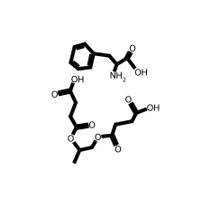 CC(COC(=O)CCC(=O)O)OC(=O)CCC(=O)O.NC(Cc1ccccc1)C(=O)O